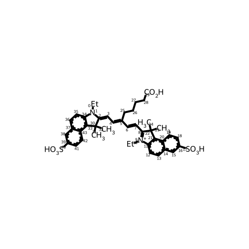 CCN1/C(=C/C=C(/C=C/C2=[N+](CC)c3ccc4cc(S(=O)(=O)O)ccc4c3C2(C)C)CCCCC(=O)O)C(C)(C)c2c1ccc1cc(S(=O)(=O)O)ccc21